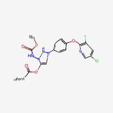 CCCCCC(=O)OC1=CN(c2ccc(Oc3ncc(Cl)cc3F)cc2)NN1NC(=O)OC(C)(C)C